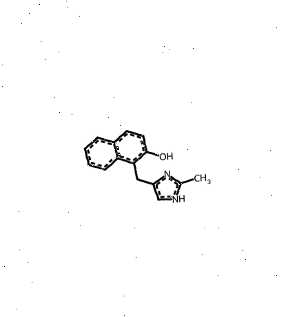 Cc1nc(Cc2c(O)ccc3ccccc23)c[nH]1